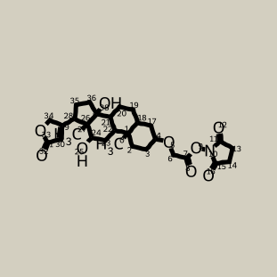 CC12CCC(OCC(=O)ON3C(=O)CCC3=O)CC1CCC1C2CC(O)C2(C)C(C3=CC(=O)OC3)CCC12O